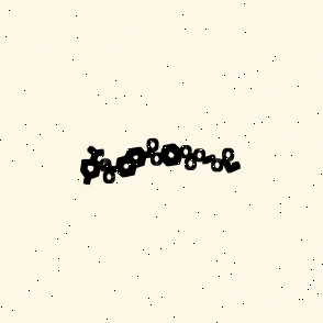 C=CC(=O)OCCOC(=O)Oc1ccc(OC(=O)c2ccc3cc(C(=O)OC4CC(C)CCC4C(C)C)ccc3c2)cc1